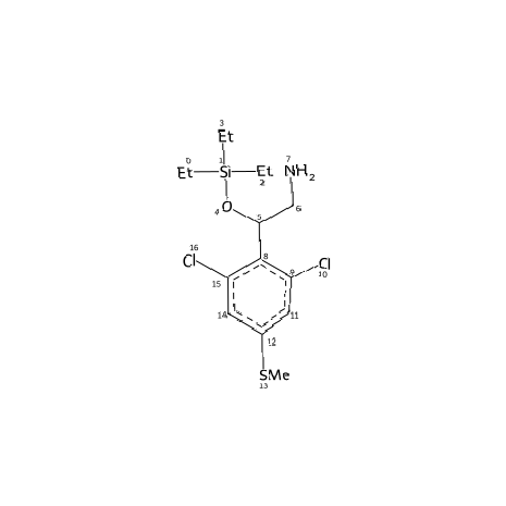 CC[Si](CC)(CC)OC(CN)c1c(Cl)cc(SC)cc1Cl